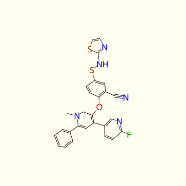 CN1CC(Oc2ccc(SNc3nccs3)cc2C#N)=C(c2ccc(F)nc2)C=C1c1ccccc1